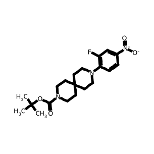 CC(C)(C)OC(=O)N1CCC2(CC1)CCN(c1ccc([N+](=O)[O-])cc1F)CC2